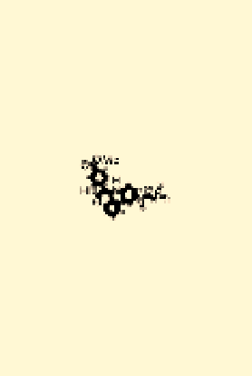 COC(=O)c1ccc2c(c1)NC(=O)C2=C(Nc1ccc(N(C)C(=O)CN(C)C)cc1)c1ccccc1